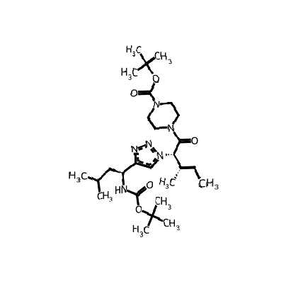 CC[C@H](C)[C@@H](C(=O)N1CCN(C(=O)OC(C)(C)C)CC1)n1cc([C@H](CC(C)C)NC(=O)OC(C)(C)C)nn1